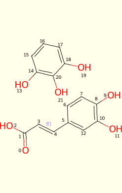 O=C(O)/C=C/c1ccc(O)c(O)c1.Oc1cccc(O)c1O